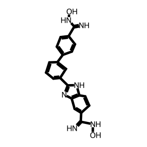 N=C(NO)c1ccc(-c2cccc(-c3nc4cc(C(=N)NO)ccc4[nH]3)c2)cc1